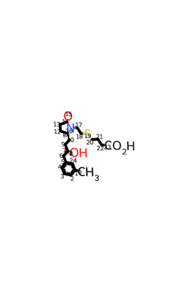 Cc1cccc(C[C@H](O)CC[C@H]2CCC(=O)N2CCSCCCC(=O)O)c1